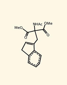 COC(=O)C(CC1=CCc2ccccc21)(NC(C)=O)C(=O)OC